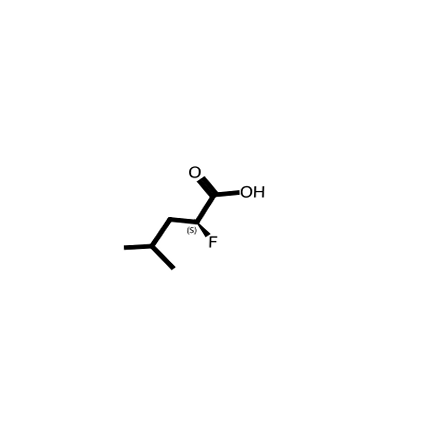 CC(C)C[C@H](F)C(=O)O